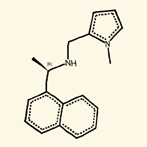 C[C@@H](NCc1cccn1C)c1cccc2ccccc12